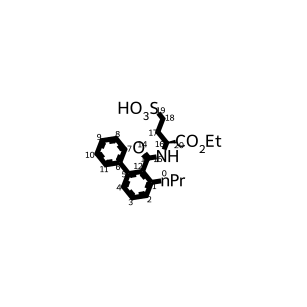 CCCc1cccc(-c2ccccc2)c1C(=O)N[C@@H](CCS(=O)(=O)O)C(=O)OCC